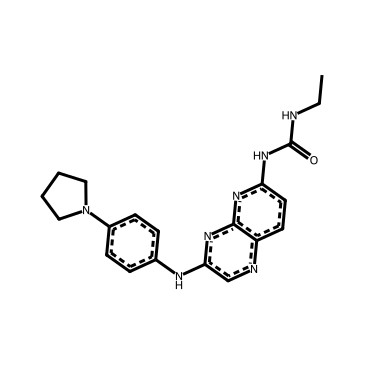 CCNC(=O)Nc1ccc2ncc(Nc3ccc(N4CCCC4)cc3)nc2n1